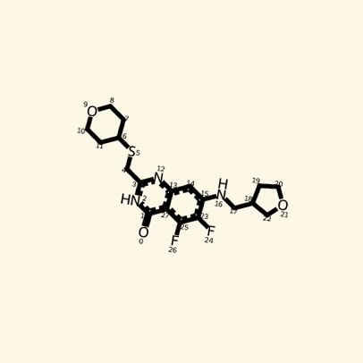 O=c1[nH]c(CSC2CCOCC2)nc2cc(NCC3CCOC3)c(F)c(F)c12